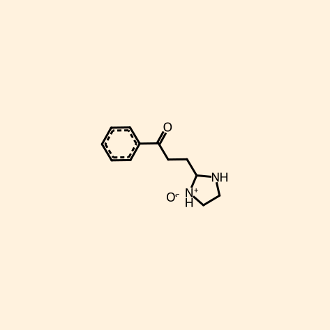 O=C(CCC1NCC[NH+]1[O-])c1ccccc1